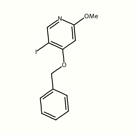 COc1cc(OCc2ccccc2)c(I)cn1